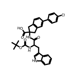 CC(C)(C)OC(=O)NC(Cc1c[nH]c2ccccc12)C(=O)NC1(C(=O)O)Cc2ccc(-c3ccc(Cl)cc3)cc2C1